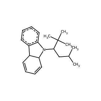 CC(C)CC(N1c2ccccc2C2C=CC=CC21)C(C)(C)C